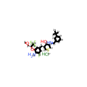 COC[C@@H](Oc1cc(C[C@@H]2CSC[C@H](NCc3cccc(C(C)(C)C)c3)[C@H]2O)cc(F)c1N)C(F)(F)F.Cl